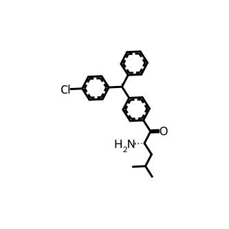 CC(C)C[C@H](N)C(=O)c1ccc([C](c2ccccc2)c2ccc(Cl)cc2)cc1